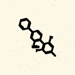 COc1cc(-c2ccccc2)ccc1-c1c(F)cc(C)cc1Br